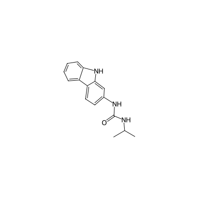 CC(C)NC(=O)Nc1ccc2c(c1)[nH]c1ccccc12